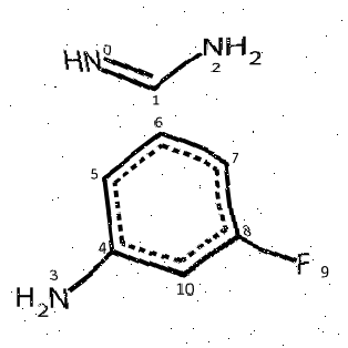 N=CN.Nc1cccc(F)c1